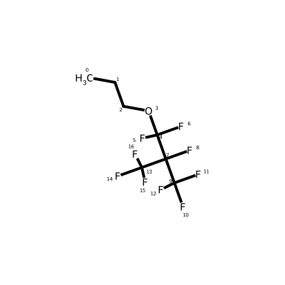 CCCOC(F)(F)C(F)(C(F)(F)F)C(F)(F)F